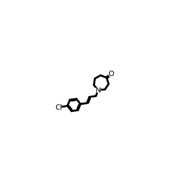 O=C1CCCN(C/C=C/c2ccc(Cl)cc2)CC1